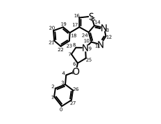 c1ccc(COC2CCN(c3ncnc4scc(-c5ccccc5)c34)C2)cc1